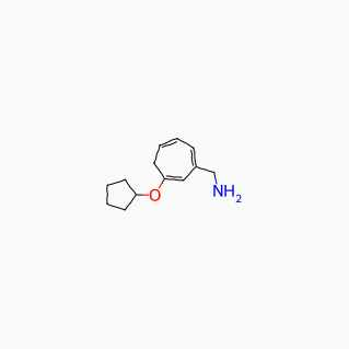 NCC1=CC=CCC(OC2CCCC2)=C1